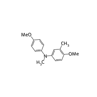 COc1ccc(N(C)c2ccc(OC)c(C)c2)cc1